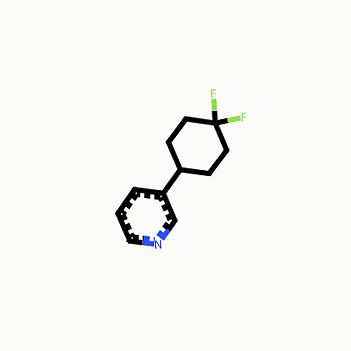 FC1(F)CCC(c2cc[c]nc2)CC1